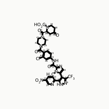 Cn1c(-c2c(C(F)(F)F)n[nH]c2-c2ccc([N+](=O)[O-])cn2)cnc1C(=O)Nc1ccc(C(=O)N2CCN(C(=O)[C@@H]3CC(=O)CCN3C(=O)O)CC2)c(Cl)c1